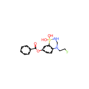 O=C(Oc1ccc2c(c1)S(O)(O)NCN2CCF)c1ccccc1